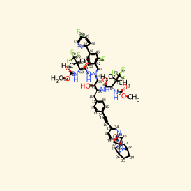 COC(=O)N[C@H](C(=O)N[C@@H](Cc1ccc(C#Cc2ccc(N3CC4CCC(C3)N4C3COC3)nc2)cc1)[C@@H](O)CN(Cc1c(F)cc(-c2ccc(F)cn2)cc1F)NC(=O)[C@@H](NC(=O)OC)C(C)(C)C(F)(F)F)C(C)(C)C(F)(F)F